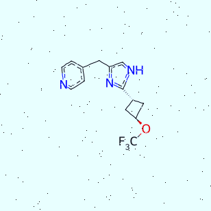 FC(F)(F)O[C@H]1C[C@H](c2nc(Cc3ccncc3)c[nH]2)C1